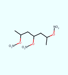 CC(CC(CC(C)O[N+](=O)[O-])O[N+](=O)[O-])O[N+](=O)[O-]